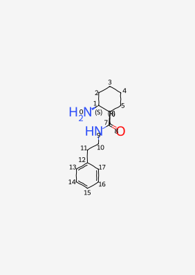 N[C@H]1CCCC[C@H]1C(=O)NCCc1ccccc1